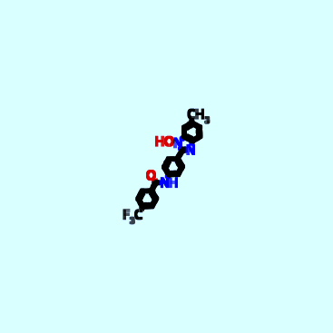 Cc1ccc2nc(-c3ccc(NC(=O)c4ccc(C(F)(F)F)cc4)cc3)n(O)c2c1